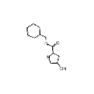 O=C(NCC1CCCCC1)C1CC(O)C[N]1